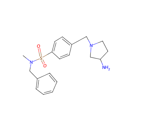 CN(Cc1ccccc1)S(=O)(=O)c1ccc(CN2CCC(N)C2)cc1